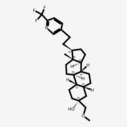 COC[C@@]1(O)CC[C@H]2[C@H](CC[C@@H]3[C@@H]2CC[C@]2(C)[C@@H](CCc4ccc(C(F)(F)F)nc4)CC[C@@H]32)C1